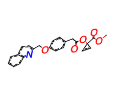 COC(=O)C1(OC(=O)Cc2ccc(OCc3ccc4ccccc4n3)cc2)C=C1